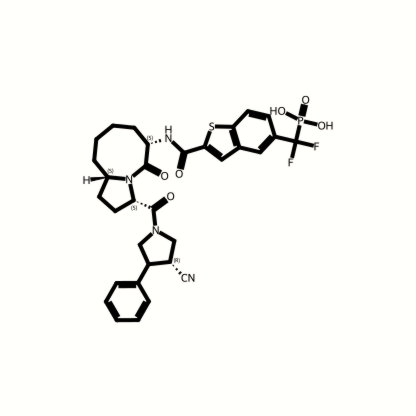 N#C[C@H]1CN(C(=O)[C@@H]2CC[C@@H]3CCCC[C@H](NC(=O)c4cc5cc(C(F)(F)P(=O)(O)O)ccc5s4)C(=O)N32)CC1c1ccccc1